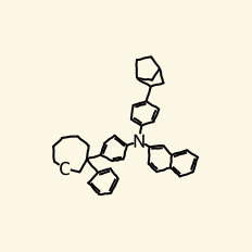 c1ccc(C2(c3ccc(N(c4ccc(C5CC6CCC5C6)cc4)c4ccc5ccccc5c4)cc3)CCCCCCC2)cc1